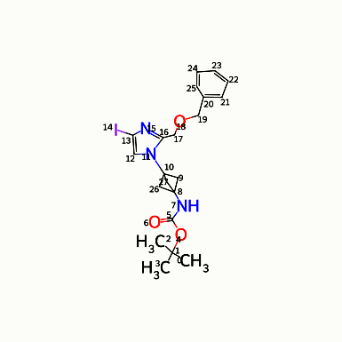 CC(C)(C)OC(=O)NC12CC(n3cc(I)nc3COCc3ccccc3)(C1)C2